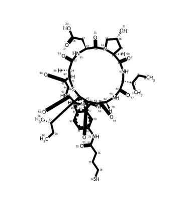 CCC(C)[C@H]1NC(=O)[C@@H]2C[C@@H](O)CN2C(=O)[C@H](CC(=O)O)NC(=O)[C@@H]2CSc3[nH]c4ccc(NC(=O)CCCS)cc4c3C[C@@H](NC1=O)C(=O)NCC(=O)NC[C@@H]([C@@H](C)CC)C(=O)NCC(=O)N2